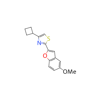 COc1ccc2oc(-c3nc(C4CCC4)cs3)cc2c1